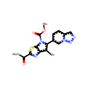 COC(=O)c1nc2c(C(C)C)c(-c3ccc4cnnn4c3)n(C(=O)OC(C)(C)C)c2s1